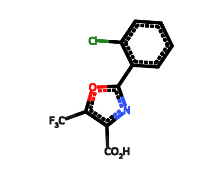 O=C(O)c1nc(-c2ccccc2Cl)oc1C(F)(F)F